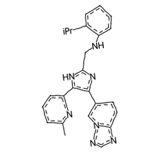 Cc1cccc(-c2[nH]c(CNc3ccccc3C(C)C)nc2-c2ccc3ncnn3c2)n1